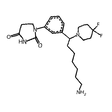 NCCCCCCC(c1cccc(N2CCC(=O)NC2=O)c1)N1CCC(F)(F)CC1